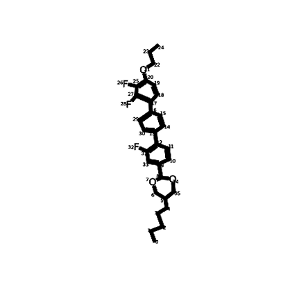 CCCCCC1COC(c2ccc(-c3ccc(-c4ccc(OCCC)c(F)c4F)cc3)c(F)c2)OC1